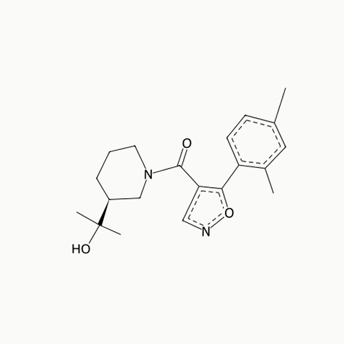 Cc1ccc(-c2oncc2C(=O)N2CCC[C@H](C(C)(C)O)C2)c(C)c1